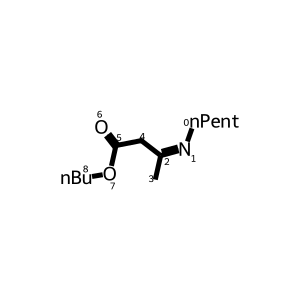 CCCCCN=C(C)CC(=O)OCCCC